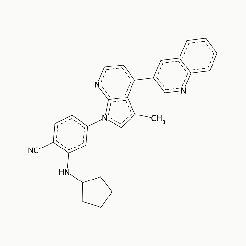 Cc1cn(-c2ccc(C#N)c(NC3CCCC3)c2)c2nccc(-c3cnc4ccccc4c3)c12